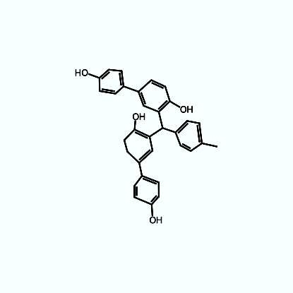 Cc1ccc(C(C2=C(O)CCC(c3ccc(O)cc3)=C2)c2cc(-c3ccc(O)cc3)ccc2O)cc1